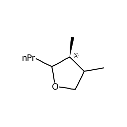 CCCC1OCC(C)[C@@H]1C